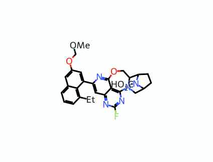 CCc1cccc2cc(OCOC)cc(-c3cc4nc(F)nc5c4c(n3)OCC3C4CCC(CN53)N4C(=O)O)c12